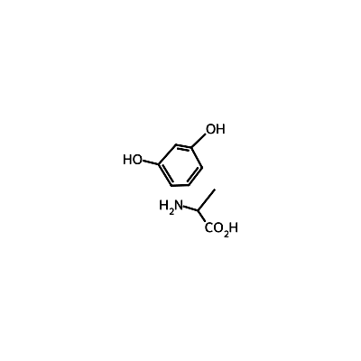 CC(N)C(=O)O.Oc1cccc(O)c1